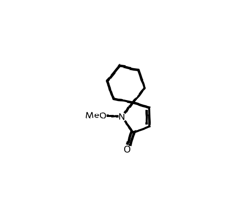 CON1C(=O)C=CC12CCCCC2